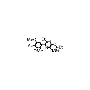 CCc1nc(OC(CC)CC)c(NC)nc1-c1cc(OC)c(C(C)=O)cc1OC